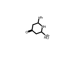 CCCC1CC(=O)CC(CCC)N1.Cl